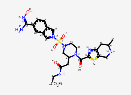 CCOC(=O)CNC(=O)CC1CN(S(=O)(=O)n2cc3ccc(/C(N)=N\O)cc3c2)CCN1C(=O)c1nc2c(s1)CNC(C)C2